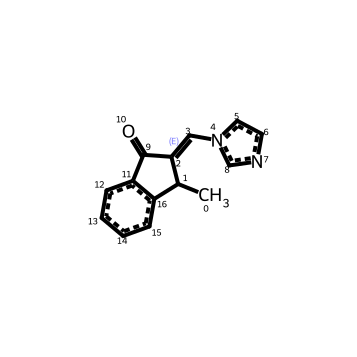 CC1/C(=C\n2ccnc2)C(=O)c2ccccc21